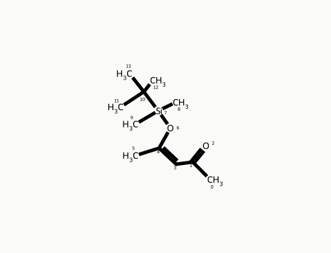 CC(=O)/C=C(/C)O[Si](C)(C)C(C)(C)C